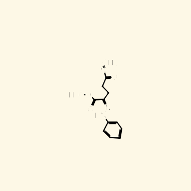 COC(=O)CC/C(=N/Nc1ccccc1)C(=O)OC